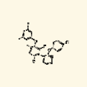 Cc1cc(F)cc(Oc2c(C)cc([O])c(-c3cccnc3Oc3ccc(Cl)cc3)c2F)c1